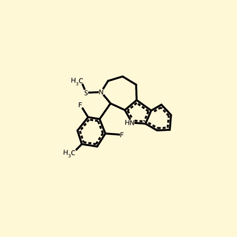 CSN1CCCc2c([nH]c3ccccc23)C1c1c(F)cc(C)cc1F